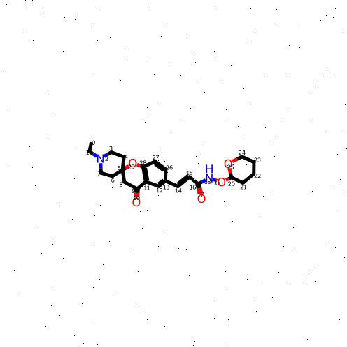 CCN1CCC2(CC1)CC(=O)c1cc(/C=C/C(=O)NOC3CCCCO3)ccc1O2